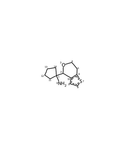 NC1(C2OCCc3sccc32)CCCC1